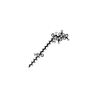 CCCCCCCCCNC(=O)CCCCCCCCCCCNC(=O)[C@H](C)[C@@H](OC(C)=O)[C@@H](CCOC(C)=O)OC(C)=O